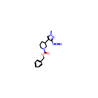 Cn1cc(C2CCCN(C(=O)OCc3ccccc3)C2)c(N=[N+]=[N-])n1